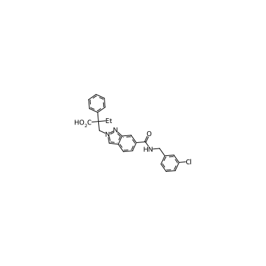 CCC(Cn1cc2ccc(C(=O)NCc3cccc(Cl)c3)cc2n1)(C(=O)O)c1ccccc1